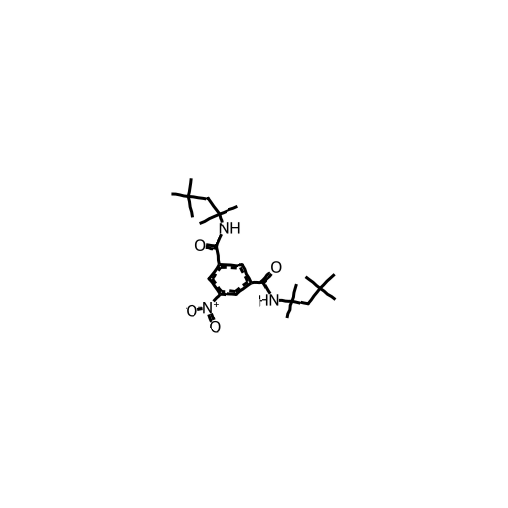 CC(C)(C)CC(C)(C)NC(=O)c1cc(C(=O)NC(C)(C)CC(C)(C)C)cc([N+](=O)[O-])c1